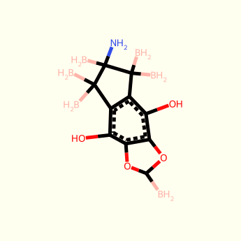 BC1Oc2c(O)c3c(c(O)c2O1)C(B)(B)C(B)(N)C3(B)B